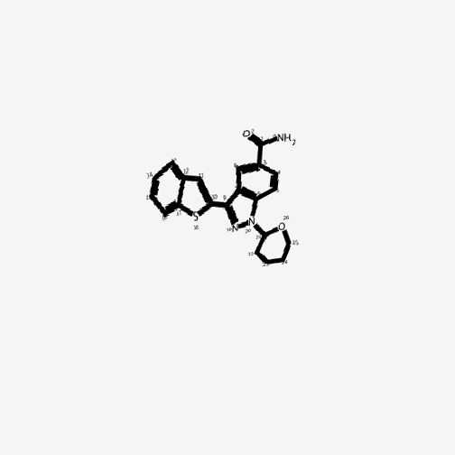 NC(=O)c1ccc2c(c1)c(-c1cc3ccccc3s1)nn2C1CCCCO1